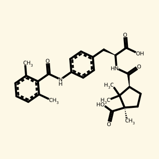 Cc1cccc(C)c1C(=O)Nc1ccc(C[C@H](NC(=O)[C@H]2CC[C@@](C)(C(=O)O)C2(C)C)C(=O)O)cc1